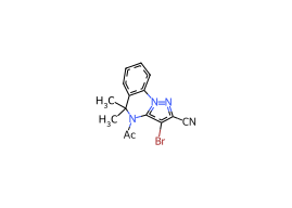 CC(=O)N1c2c(Br)c(C#N)nn2-c2ccccc2C1(C)C